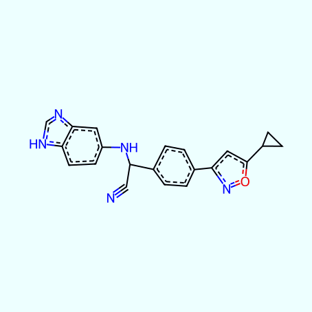 N#CC(Nc1ccc2[nH]cnc2c1)c1ccc(-c2cc(C3CC3)on2)cc1